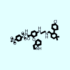 CC1(C)CCC(CNCCNc2ccc(C(=O)NS(=O)(=O)c3ccc(S(C)(=O)=O)cc3)c(Oc3cccc4[nH]ccc34)c2)=C(c2ccc(Cl)cc2)C1